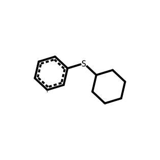 [c]1cccc(SC2CCCCC2)c1